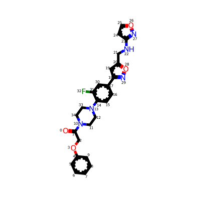 O=C(COc1ccccc1)N1CCN(c2ccc(-c3cc(CNc4ccon4)on3)cc2F)CC1